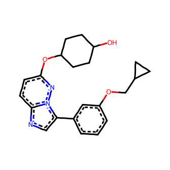 OC1CCC(Oc2ccc3ncc(-c4cccc(OCC5CC5)c4)n3n2)CC1